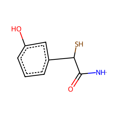 [NH]C(=O)C(S)c1cccc(O)c1